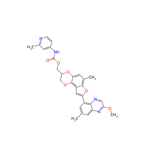 COc1cnc2c(-c3cc4c5c(cc(C)c4o3)OC(COC(=O)Nc3ccnc(C)c3)CO5)cc(C)cc2n1